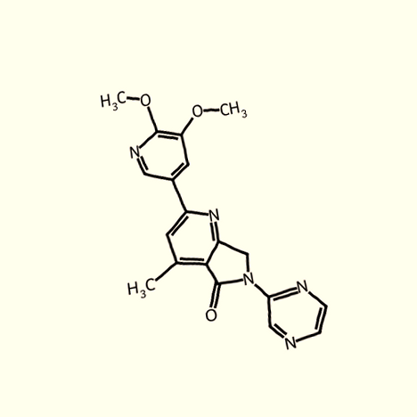 COc1cc(-c2cc(C)c3c(n2)CN(c2cnccn2)C3=O)cnc1OC